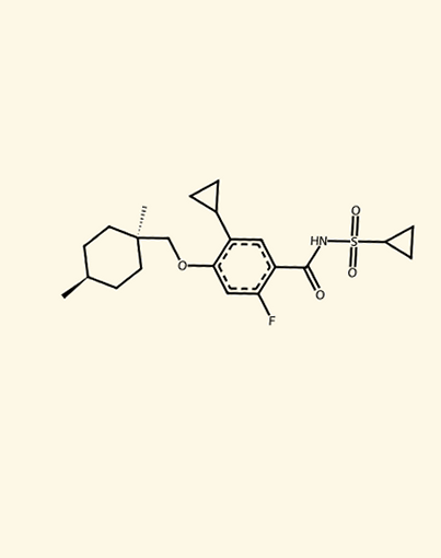 C[C@H]1CC[C@@](C)(COc2cc(F)c(C(=O)NS(=O)(=O)C3CC3)cc2C2CC2)CC1